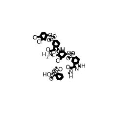 CNC(=O)c1n[nH]c2ccc(S(=O)(=O)Oc3ccc(Cl)c(Cl)c3)cc12.CS(=O)(=O)c1ccccc1S(=O)(=O)O.NC(=O)c1n[nH]c2ccc(S(=O)(=O)Oc3ccc(Cl)c(Cl)c3)cc12